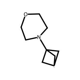 C1CN(C23C[C](C2)C3)CCO1